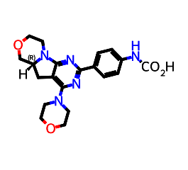 O=C(O)Nc1ccc(-c2nc(N3CCOCC3)c3c(n2)N2CCOC[C@H]2C3)cc1